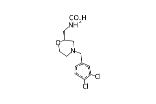 O=C(O)NC[C@H]1CN(Cc2ccc(Cl)c(Cl)c2)CCO1